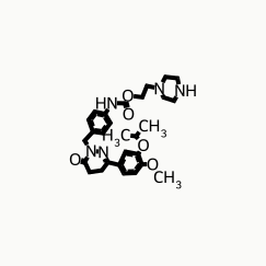 COc1ccc(C2=NN(Cc3ccc(NC(=O)OCCN4CCNCC4)cc3)C(=O)CC2)cc1OC(C)C